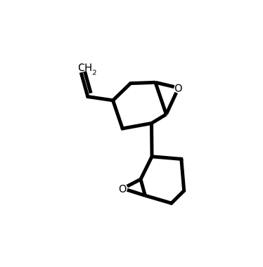 C=CC1CC2OC2C(C2CCCC3OC32)C1